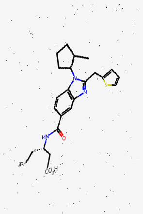 CC(C)C[C@@H](CC(=O)O)NC(=O)c1ccc2c(c1)nc(Cc1cccs1)n2C1CCCC1C